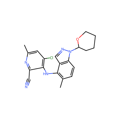 Cc1cc(Cl)c(Nc2c(C)ccc3c2cnn3C2CCCCO2)c(C#N)n1